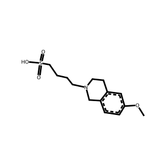 COc1ccc2c(c1)CCN(CCCCS(=O)(=O)O)C2